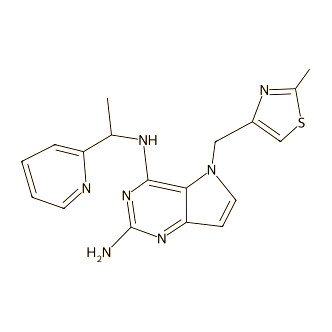 Cc1nc(Cn2ccc3nc(N)nc(NC(C)c4ccccn4)c32)cs1